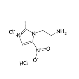 CC1=[N+]C=C([N+](=O)[O-])N1CCN.Cl.[Cl-]